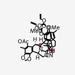 C=COC(=O)Oc1cc2c(cc1OC)[C@@]1(CS[C@@H]3c4c(OC(C)=O)c(C)c5c(c4[C@H](COC1=O)N1C3[C@H]3c4c(cc(C)c(OC)c4OC(=O)OC=C)C[C@@H]([C@@H]1C#N)N3C)OCO5)NCC2